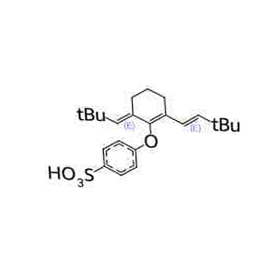 CC(C)(C)/C=C/C1=C(Oc2ccc(S(=O)(=O)O)cc2)C(=C/C(C)(C)C)/CCC1